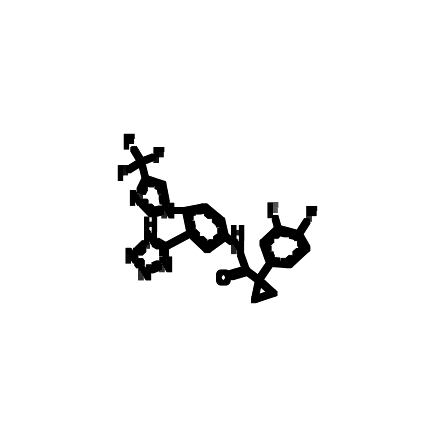 O=C(Nc1ccc(-n2cnc(C(F)(F)F)c2)c(-c2nnn[nH]2)c1)C1(c2ccc(F)c(F)c2)CC1